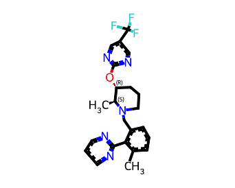 Cc1cccc(CN2CCC[C@@H](Oc3ncc(C(F)(F)F)cn3)[C@@H]2C)c1-c1ncccn1